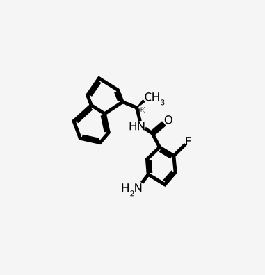 C[C@@H](NC(=O)c1cc(N)ccc1F)c1cccc2ccccc12